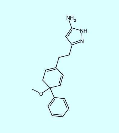 COC1(c2ccccc2)C=CC(CCc2cc(N)[nH]n2)=CC1